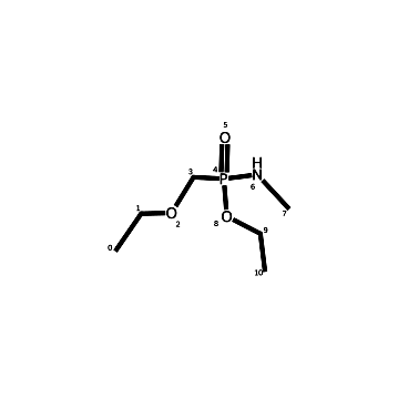 CCOCP(=O)(NC)OCC